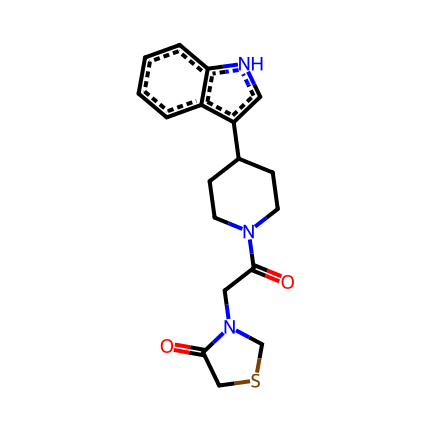 O=C(CN1CSCC1=O)N1CCC(c2c[nH]c3ccccc23)CC1